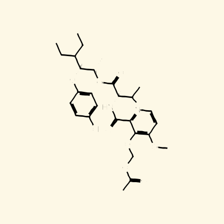 CCC(CC)[C@@H](Oc1ccc(Cl)cc1)[C@H](C)OC(=O)[C@@H](NC(=O)c1nccc(OC)c1OCOC(C)=O)C(C)C